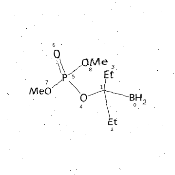 BC(CC)(CC)OP(=O)(OC)OC